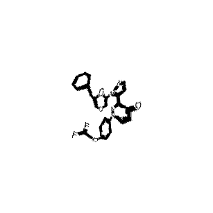 O=c1ccn(-c2ccc(OC(F)F)cc2)nc1-c1ccnn1C1=COC=C(C2=CC=CCC2)O1